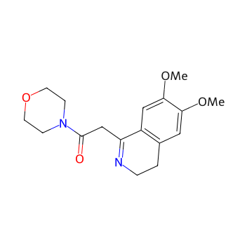 COc1cc2c(cc1OC)C(CC(=O)N1CCOCC1)=NCC2